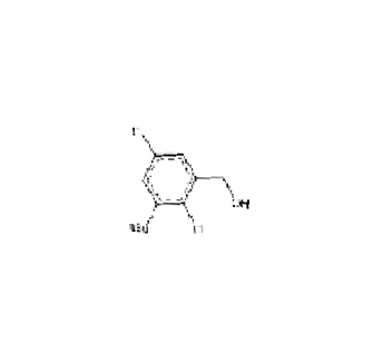 CC(C)(C)c1cc(Cl)cc(CO)c1Cl